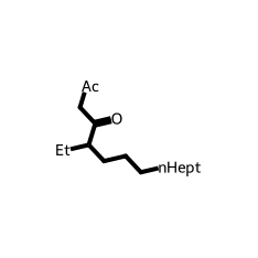 CCCCCCCCCCC(CC)C(=O)CC(C)=O